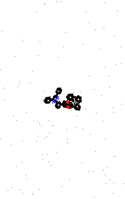 c1ccc(-c2cc(-c3ccccc3)nc(-c3cccc(-c4cccc(-c5cccc6c5[Si](c5ccccc5)(c5ccccc5)c5ccccc5-6)c4)c3)n2)cc1